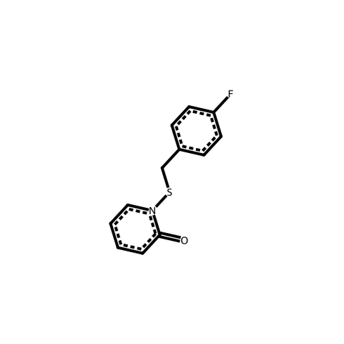 O=c1ccccn1SCc1ccc(F)cc1